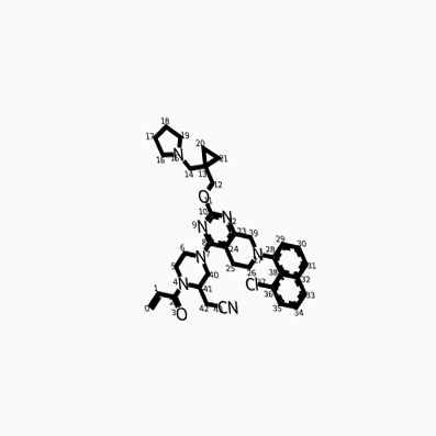 C=CC(=O)N1CCN(c2nc(OCC3(CN4CCCC4)CC3)nc3c2CCN(c2cccc4cccc(Cl)c24)C3)CC1CC#N